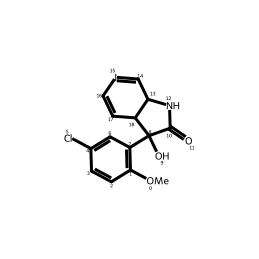 COc1ccc(Cl)cc1C1(O)C(=O)NC2C=IC=CC21